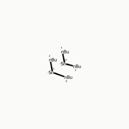 CCC[CH2][Sn][CH2]CCC.CCC[CH2][Sn][CH2]CCC